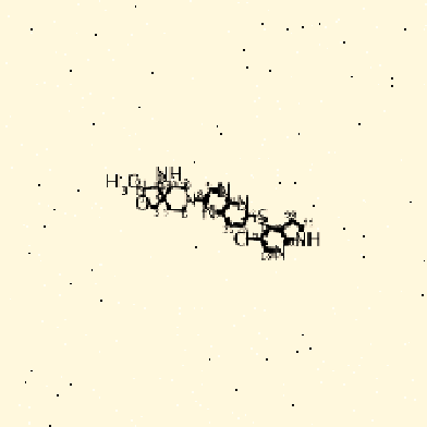 C[C@@H]1OCC2(CCN(c3cnc4nc(Sc5c(Cl)cnc6[nH]ccc56)ccc4n3)CC2)[C@@H]1N